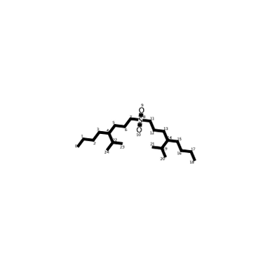 CCCCC(CCCS(=O)(=O)CCCC(CCCC)C(C)C)C(C)C